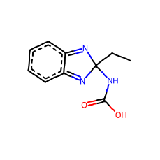 CCC1(NC(=O)O)N=c2ccccc2=N1